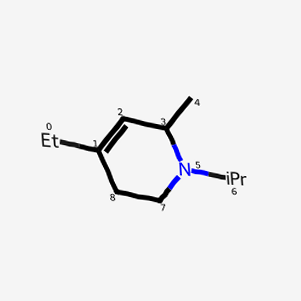 CCC1=CC(C)N(C(C)C)CC1